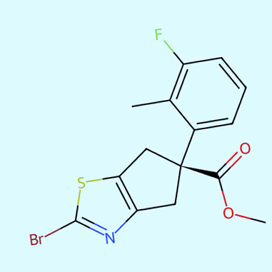 COC(=O)[C@@]1(c2cccc(F)c2C)Cc2nc(Br)sc2C1